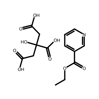 CCOC(=O)c1cccnc1.O=C(O)CC(O)(CC(=O)O)C(=O)O